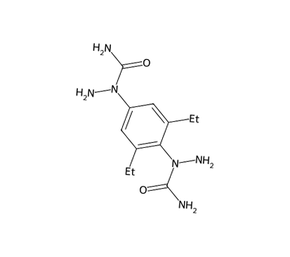 CCc1cc(N(N)C(N)=O)cc(CC)c1N(N)C(N)=O